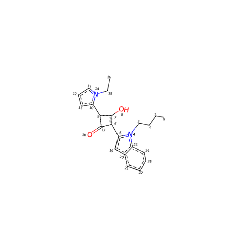 CCCCn1c(C2=C(O)C(c3cccn3CC)C2=O)cc2ccccc21